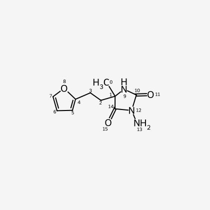 CC1(CCc2ccco2)NC(=O)N(N)C1=O